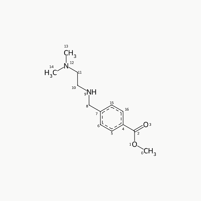 COC(=O)c1ccc(CNCCN(C)C)cc1